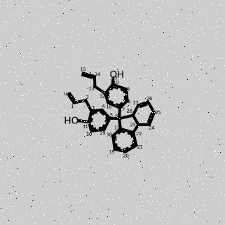 C=CCc1cc(C2(c3ccc(O)c(CC=C)c3)c3ccccc3C3C=CC=CC32)ccc1O